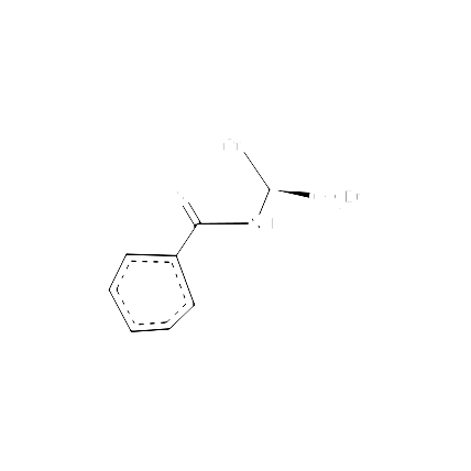 CCOC(=O)[C@@H](NC(=S)c1ccccc1)C(C)C